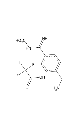 N=C(NC(=O)O)c1ccc(CN)cc1.O=C(O)C(F)(F)F